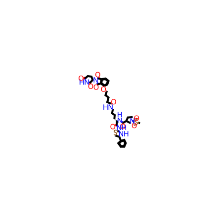 CS(=O)(=O)N1CCC(C(=O)N[C@@H](CCCCNC(=O)CCCCOc2cccc3c2C(=O)N(C2CCC(=O)NC2=O)C3=O)C(=O)NC2NC(c3ccccc3)CS2)C1